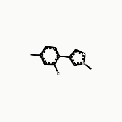 Cc1ccc(-c2cnn(C)c2)c(Cl)c1